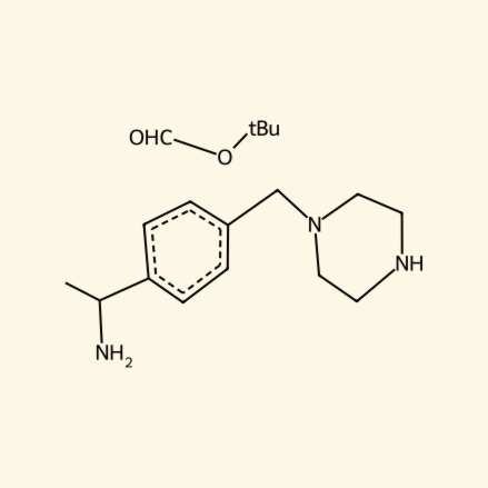 CC(C)(C)OC=O.CC(N)c1ccc(CN2CCNCC2)cc1